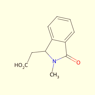 CN1C(=O)c2ccccc2C1CC(=O)O